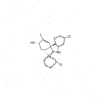 O=C1Nc2cc(Cl)ccc2[C@@]12C=C(I)[C@@H](O)C[C@H]2c1cccc(Cl)c1